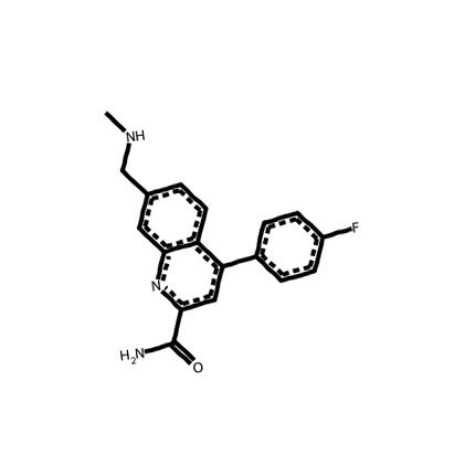 CNCc1ccc2c(-c3ccc(F)cc3)cc(C(N)=O)nc2c1